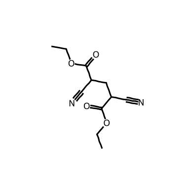 CCOC(=O)C(C#N)CC(C#N)C(=O)OCC